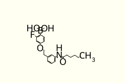 CCCCCC(=O)Nc1cccc(CCOc2ccc(B(O)O)c(F)c2)c1